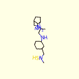 CC(CN[C@@H]1CCCC(CN(C)S)C1)N1CC2CCC1C2N